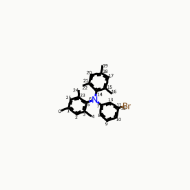 Cc1cc(C)c(N(c2cccc(Br)c2)c2c(C)cc(C)cc2C)c(C)c1